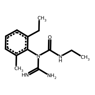 CCNC(=O)N(C(=N)N)c1c(C)cccc1CC